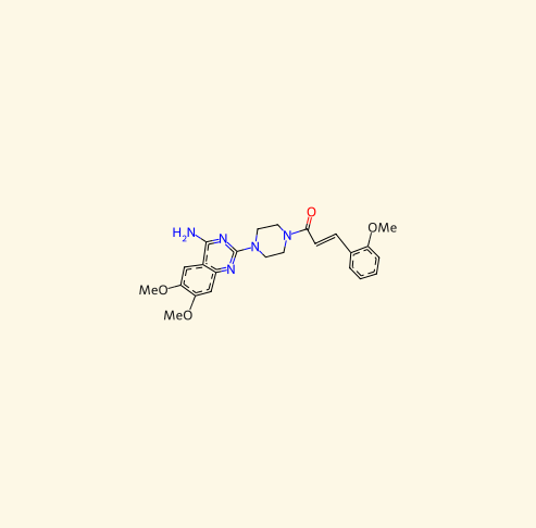 COc1ccccc1C=CC(=O)N1CCN(c2nc(N)c3cc(OC)c(OC)cc3n2)CC1